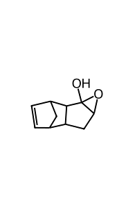 OC12OC1CC1C3C=CC(C3)C12